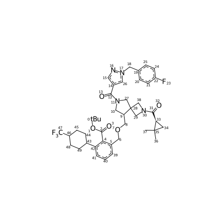 CC(C)(C)OC(=O)c1c(COCC2CN(C(=O)c3cnn(Cc4ccc(F)cc4)c3)CC23CN(C(=O)[C@H]2CC2(C)C)C3)cccc1C1CCC(C(F)(F)F)CC1